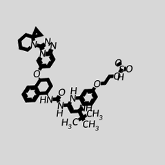 CC(C)(C)C(=N)/C=C(/NC(=O)N[C@H]1CC[C@@H](Oc2ccc3nnc(N4CCCCC45CC5)n3c2)c2ccccc21)Nc1cccc(OCCO[SH](=O)=O)c1